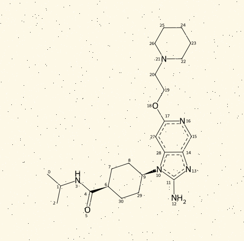 CC(C)NC(=O)[C@H]1CC[C@@H](n2c(N)nc3cnc(OCCN4CCCCC4)cc32)CC1